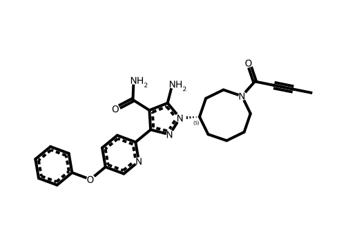 CC#CC(=O)N1CCCC[C@H](n2nc(-c3ccc(Oc4ccccc4)cn3)c(C(N)=O)c2N)CC1